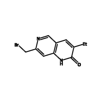 CCc1cc2cnc(CBr)cc2[nH]c1=O